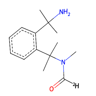 [2H]C(=O)N(C)C(C)(C)c1ccccc1C(C)(C)N